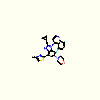 Cc1csc(-c2cc(N3CCOCC3)cc3c2nc(C2CC2)n3-c2ccnc3c(F)ccc(F)c23)n1